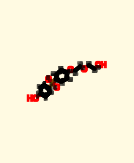 O=S(=O)(c1ccc(O)cc1)c1ccc(OCCOCCO)cc1